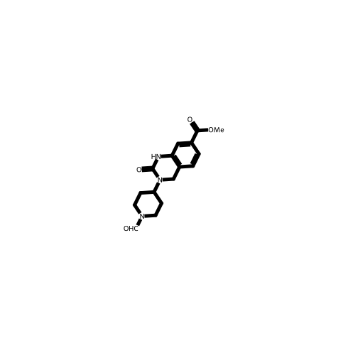 COC(=O)c1ccc2c(c1)NC(=O)N(C1CCN(C=O)CC1)C2